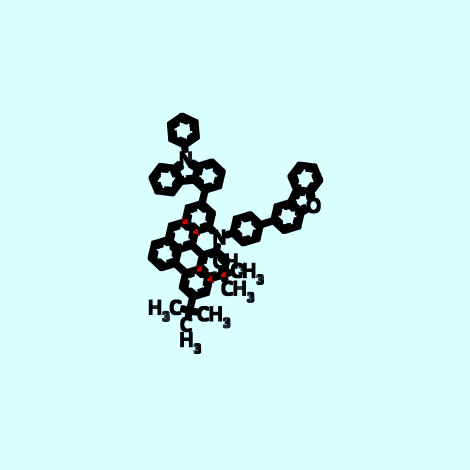 CC(C)(C)c1cc(-c2cccc3cccc(-c4ccccc4N(c4ccc(-c5ccc6oc7ccccc7c6c5)cc4)c4cccc(-c5cccc6c5c5ccccc5n6-c5ccccc5)c4)c23)cc(C(C)(C)C)c1